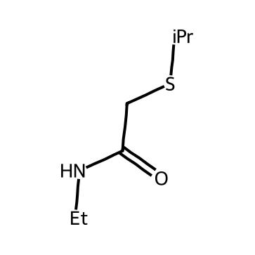 CCNC(=O)CSC(C)C